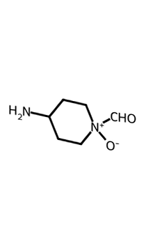 NC1CC[N+]([O-])(C=O)CC1